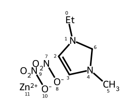 CCN1C=CN(C)C1.O=[N+]([O-])[O-].O=[N+]([O-])[O-].[Zn+2]